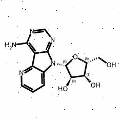 Nc1ncnc2c1c1ncccc1n2[C@@H]1O[C@H](CO)[C@@H](O)[C@H]1O